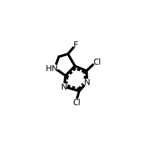 FC1CNc2nc(Cl)nc(Cl)c21